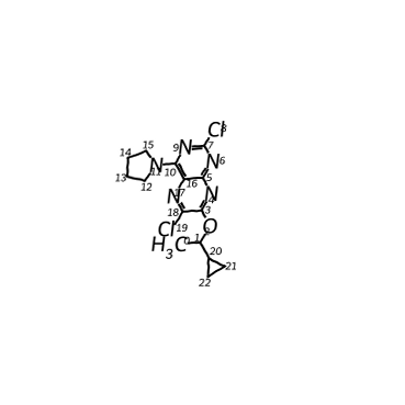 CC(Oc1nc2nc(Cl)nc(N3CCCC3)c2nc1Cl)C1CC1